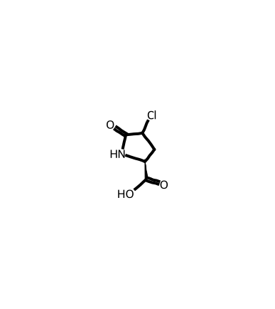 O=C1N[C@H](C(=O)O)CC1Cl